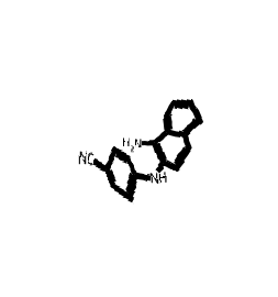 N#Cc1ccc(Nc2ccc3ccccc3c2N)cc1